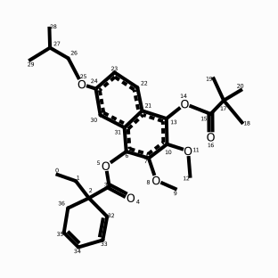 CCC1(C(=O)Oc2c(OC)c(OC)c(OC(=O)C(C)(C)C)c3ccc(OCC(C)C)cc23)C=CC=CC1